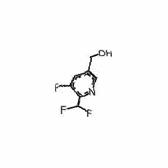 OCc1cnc(C(F)F)c(F)c1